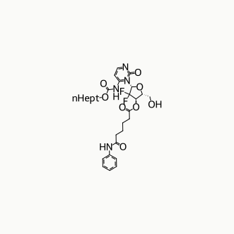 CCCCCCCOC(=O)Nc1ccnc(=O)n1[C@@H]1O[C@H](CO)[C@@H](OC(=O)CCCCC(=O)Nc2ccccc2)C1(F)F